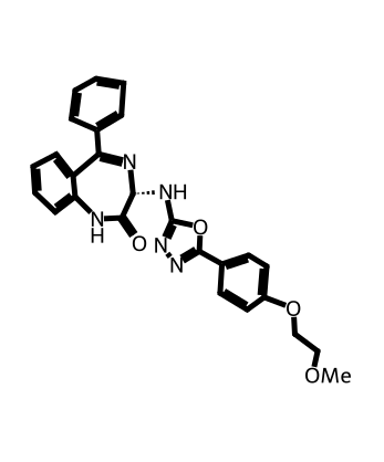 COCCOc1ccc(-c2nnc(N[C@H]3N=C(c4ccccc4)c4ccccc4NC3=O)o2)cc1